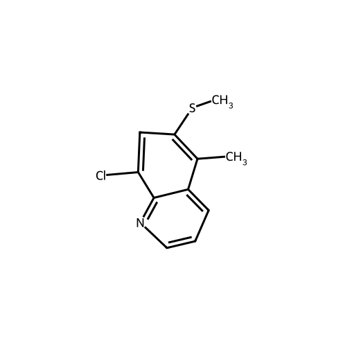 CSc1cc(Cl)c2ncccc2c1C